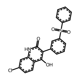 O=c1[nH]c2cc(Cl)ccc2c(O)c1-c1cccc(S(=O)(=O)c2ccccc2)c1